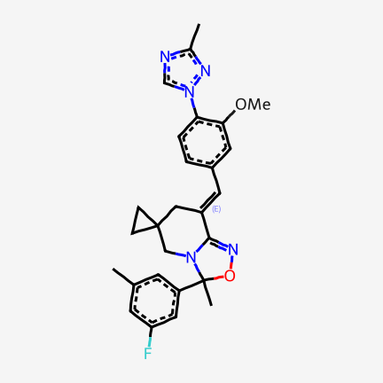 COc1cc(/C=C2\CC3(CC3)CN3C2=NOC3(C)c2cc(C)cc(F)c2)ccc1-n1cnc(C)n1